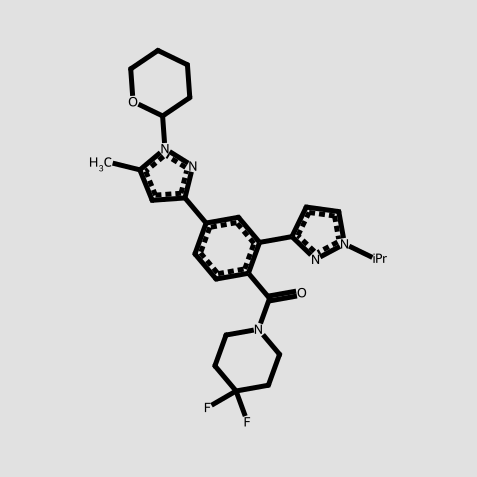 Cc1cc(-c2ccc(C(=O)N3CCC(F)(F)CC3)c(-c3ccn(C(C)C)n3)c2)nn1C1CCCCO1